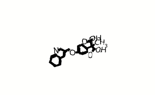 CC(C(=O)O)(C(=O)O)c1ccc(OCc2cnc3ccccc3c2)cc1